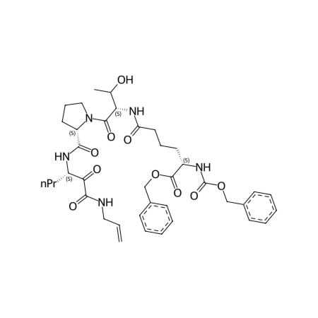 C=CCNC(=O)C(=O)[C@H](CCC)NC(=O)[C@@H]1CCCN1C(=O)[C@@H](NC(=O)CCC[C@H](NC(=O)OCc1ccccc1)C(=O)OCc1ccccc1)C(C)O